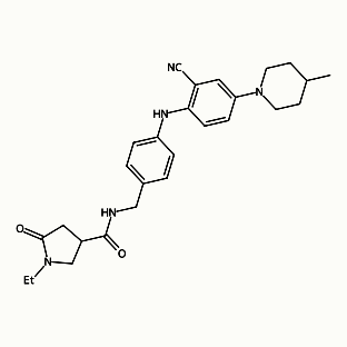 CCN1CC(C(=O)NCc2ccc(Nc3ccc(N4CCC(C)CC4)cc3C#N)cc2)CC1=O